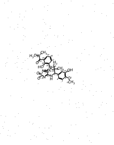 COc1ccc(C(NC2=NS(=O)(=O)N=C2Nc2cccc(C(=O)N(C)C)c2O)C(C)(C)C)cc1O